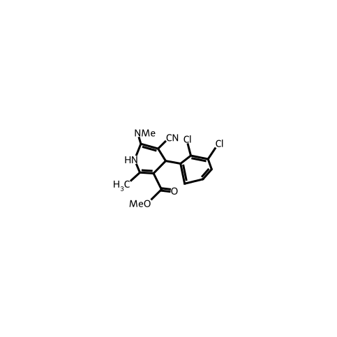 CNC1=C(C#N)C(c2cccc(Cl)c2Cl)C(C(=O)OC)=C(C)N1